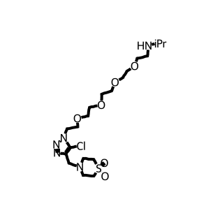 CC(C)NCCOCCOCCOCCOCCn1nnc(CN2CCS(=O)(=O)CC2)c1Cl